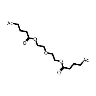 CC(=O)CCCC(=O)OCCOCCOC(=O)CCCC(C)=O